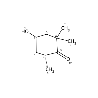 C[C@@H]1CC(O)CC(C)(C)C1=O